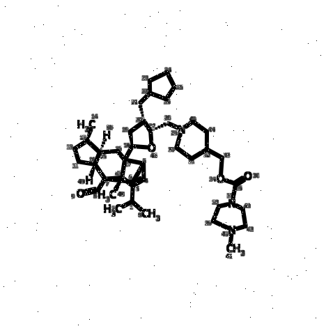 CC(C)C1=CC2CC3(C=O)[C@@H]4CC[C@@H](C)[C@H]4CC2([C@H]2C[C@H](CC4CCCC4)[C@H](CN4CCC(COC(=O)N5CCN(C)CC5)CC4)O2)[C@]13C